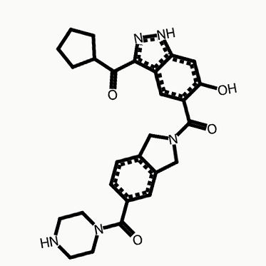 O=C(c1n[nH]c2cc(O)c(C(=O)N3Cc4ccc(C(=O)N5CCNCC5)cc4C3)cc12)C1CCCC1